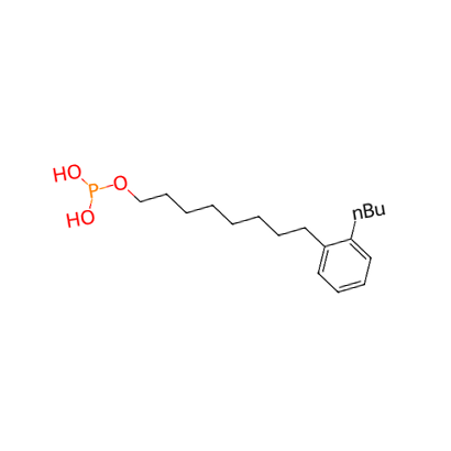 CCCCc1ccccc1CCCCCCCCOP(O)O